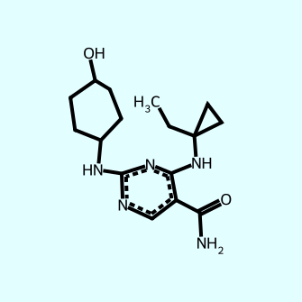 CCC1(Nc2nc(NC3CCC(O)CC3)ncc2C(N)=O)CC1